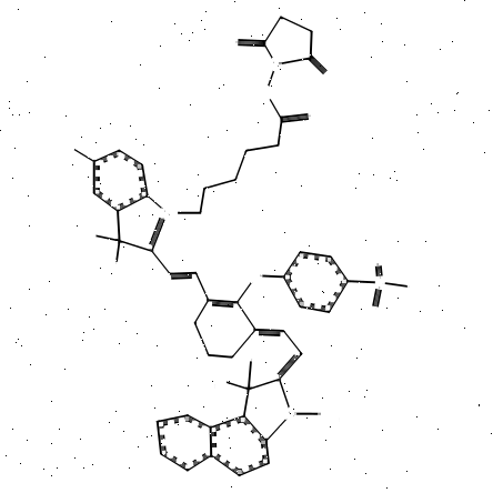 CN1/C(=C/C=C2\CCCC(/C=C/C3=[N+](CCCCCC(=O)ON4C(=O)CCC4=O)c4ccc(F)cc4C3(C)C)=C2Oc2ccc(S(=O)(=O)O)cc2)C(C)(C)c2c1ccc1ccccc21